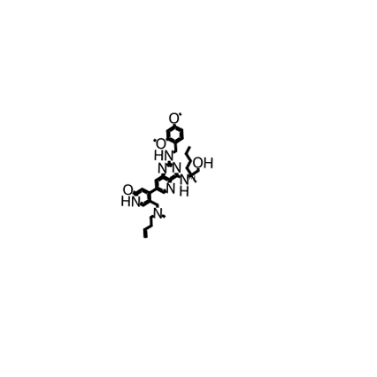 C=CCCN(C)Cc1c[nH]c(=O)cc1-c1cnc2c(N[C@@](C)(CO)CCCC)nc(NCc3ccc(OC)cc3OC)nc2c1